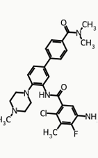 Cc1c(F)c(N)cc(C(=O)Nc2cc(-c3ccc(C(=O)N(C)C)cc3)ccc2N2CCN(C)CC2)c1Cl